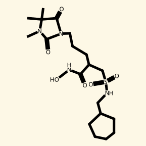 CN1C(=O)N(CCCC(CS(=O)(=O)NCC2CCCCC2)C(=O)NO)C(=O)C1(C)C